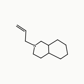 C=CCN1CCC2CCCCC2C1